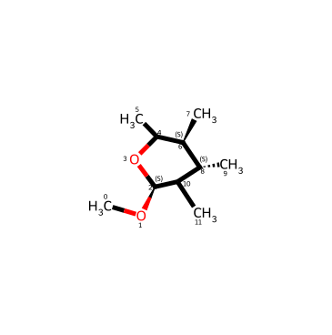 CO[C@H]1OC(C)[C@@H](C)[C@H](C)C1C